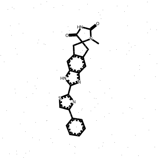 CN1C(=O)NC(=O)C12Cc1cc3nc(-c4nc(-c5ccccc5)cs4)[nH]c3cc1C2